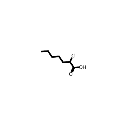 CCCCCC(Cl)C(=O)O